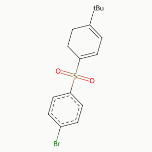 CC(C)(C)C1=CC=C(S(=O)(=O)c2ccc(Br)cc2)CC1